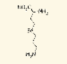 NCCC[Se]CC[C@H](N)C(=O)O